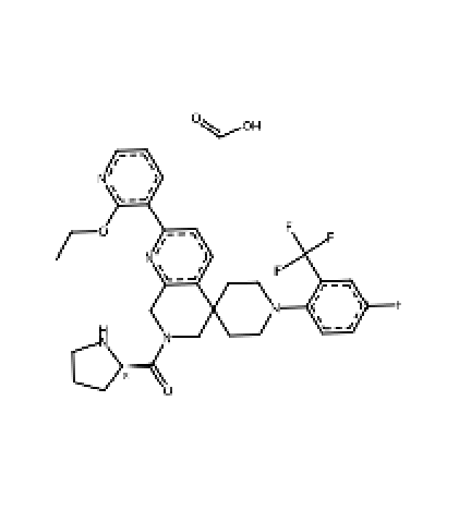 CCOc1ncccc1-c1ccc2c(n1)CN(C(=O)[C@H]1CCCN1)CC21CCN(c2ccc(F)cc2C(F)(F)F)CC1.O=CO